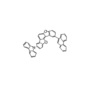 c1ccc2c(c1)cc(-c1ccc3oc4ccc5c6cc(-n7c8ccccc8c8ccccc87)ccc6oc5c4c3c1)c1ccccc12